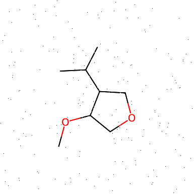 COC1COCC1C(C)C